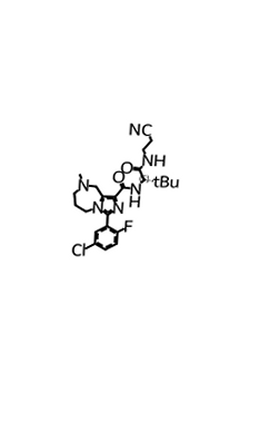 CN1CCCn2c(-c3cc(Cl)ccc3F)nc(C(=O)N[C@H](C(=O)NCCC#N)C(C)(C)C)c2C1